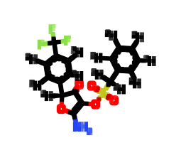 [2H]c1c([2H])c([2H])c(C([2H])([2H])S(=O)(=O)OC2=C(N)O[C@]([2H])(c3c([2H])c([2H])c(C(F)(F)F)c([2H])c3[2H])C2=O)c([2H])c1[2H]